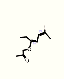 CC/C(=C\C=C(/C)I)OCC(C)=O